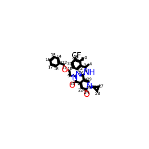 Cc1c(C(C)Nc2nn(CCOCc3ccccc3)c(=O)c3cc(=O)n(C4CC4)cc23)cccc1C(F)(F)F